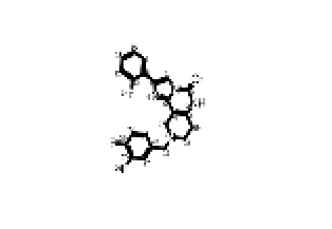 O=c1[nH]c2c(c3nc(-c4ccccc4F)cn13)CN(Cc1ccc(F)c(F)c1)CC2